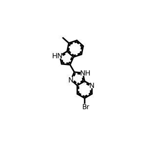 Cc1cccc2c(-c3nc4cc(Br)cnc4[nH]3)c[nH]c12